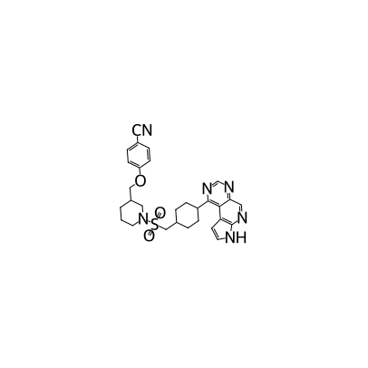 N#Cc1ccc(OCC2CCCN(S(=O)(=O)CC3CCC(c4ncnc5cnc6[nH]ccc6c45)CC3)C2)cc1